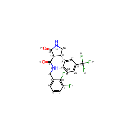 O=C(NCc1cccc(F)c1F)[C@H]1C(=O)NC[C@@H]1c1cccc(C(F)(F)F)c1